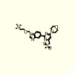 C[Si](C)(C)CCOCn1cnc2cc(-c3nc(CS(C)(=O)=O)cc(N4CCOCC4)n3)ccc21